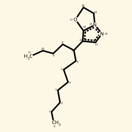 CCCCCCCC(CCCC)c1cnn2c1OCC2